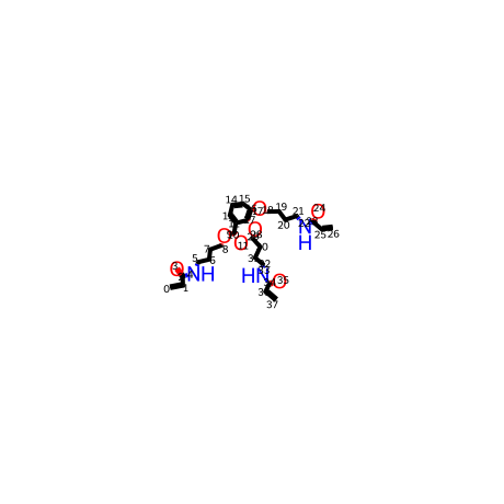 C=CC(=O)NCCCCOC(=O)c1cccc(OCCCCNC(=O)C=C)c1OCCCCNC(=O)C=C